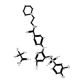 O=C(NCCN1CCCCC1)c1ccc(Oc2ncc(Cl)cc2NS(=O)(=O)c2ccc(Cl)c(Cl)c2)cc1.O=C(O)C(F)(F)F